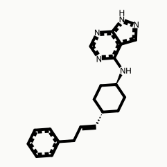 C(=C[C@H]1CC[C@H](Nc2ncnc3[nH]ncc23)CC1)Cc1ccccc1